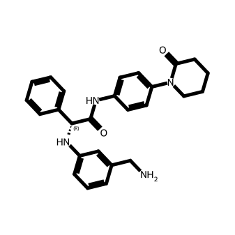 NCc1cccc(N[C@@H](C(=O)Nc2ccc(N3CCCCC3=O)cc2)c2ccccc2)c1